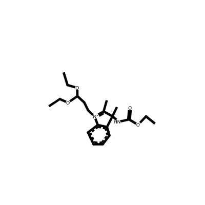 CCOC(=O)NC1(C)C(C)=[N+](CCC(OCC)OCC)c2ccccc21